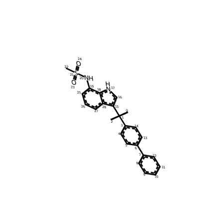 CC(C)(c1ccc(-c2ccccc2)cc1)c1c[nH]c2c(NS(C)(=O)=O)cccc12